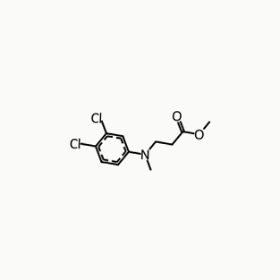 COC(=O)CCN(C)c1ccc(Cl)c(Cl)c1